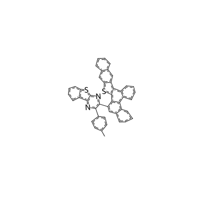 Cc1ccc(-c2nc3c(nc2-c2cc4ccccc4c4c5ccccc5c5c6cc7ccccc7cc6sc5c24)sc2ccccc23)cc1